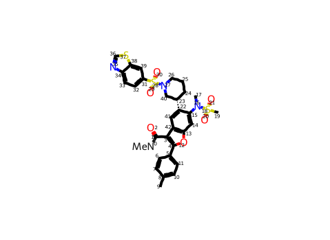 CNC(=O)c1c(-c2ccc(C)cc2)oc2cc(N(C)S(C)(=O)=O)c([C@H]3CCCN(S(=O)(=O)c4ccc5ncsc5c4)C3)cc12